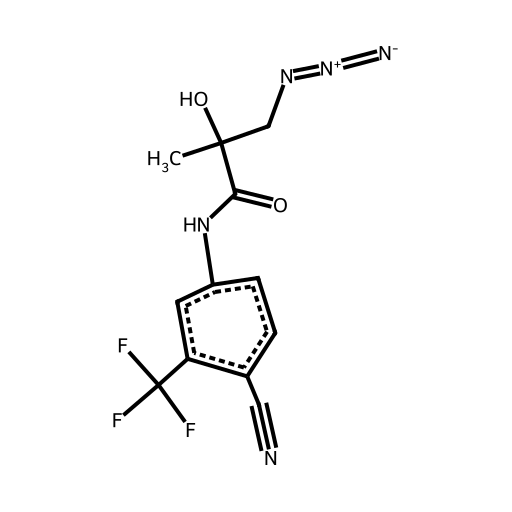 CC(O)(CN=[N+]=[N-])C(=O)Nc1ccc(C#N)c(C(F)(F)F)c1